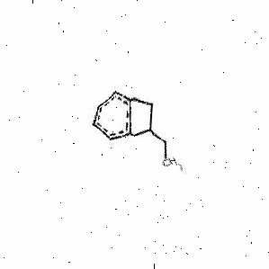 CCC1Cc2ccccc21